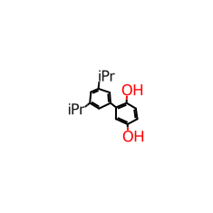 CC(C)c1cc(-c2cc(O)ccc2O)cc(C(C)C)c1